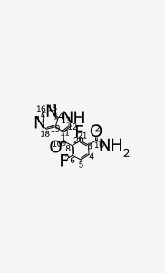 NC(=O)c1ccc(F)c(C(=O)c2c[nH]c3ncncc23)c1F